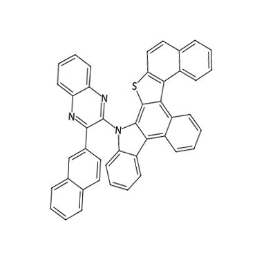 c1ccc2cc(-c3nc4ccccc4nc3-n3c4ccccc4c4c5ccccc5c5c(sc6ccc7ccccc7c65)c43)ccc2c1